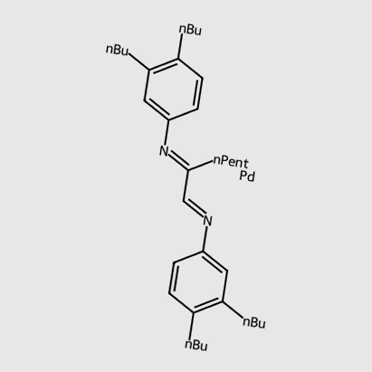 CCCCCC(/C=N/c1ccc(CCCC)c(CCCC)c1)=N\c1ccc(CCCC)c(CCCC)c1.[Pd]